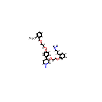 COc1ccccc1COCCCOc1ccc(C2CCNCC2OCCOc2ccccc2CCCN(C)C)cc1